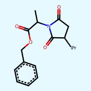 CC(C)C1CC(=O)N(C(C)C(=O)OCc2ccccc2)C1=O